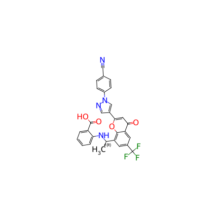 C[C@@H](Nc1ccccc1C(=O)O)c1cc(C(F)(F)F)cc2c(=O)cc(-c3cnn(-c4ccc(C#N)cc4)c3)oc12